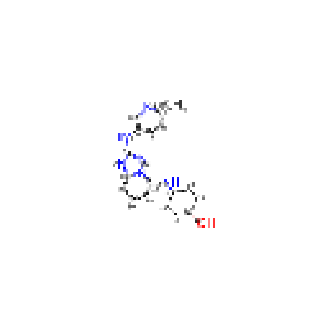 Cc1ccc(Nc2nc3cccc(NC4CCC(O)CC4)n3n2)cn1